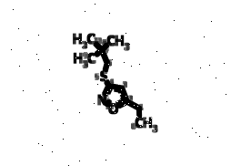 CCc1cc(SCC(C)(C)C)no1